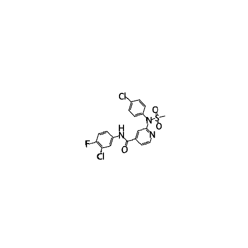 CS(=O)(=O)N(c1ccc(Cl)cc1)c1cc(C(=O)Nc2ccc(F)c(Cl)c2)ccn1